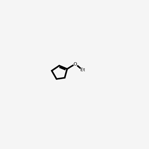 CCOC1=CCCC1